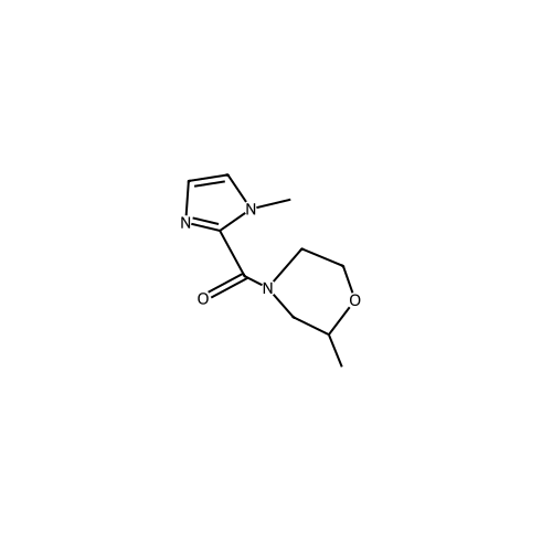 CC1CN(C(=O)c2nccn2C)CCO1